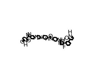 Cn1nc(C2CCC(=O)NC2=O)c2ccc(N3CCN([C@H]4CC[C@H](C(=O)NC5CCC(Nc6ncc(F)c(-c7cccc(-c8ccc[nH]c8=O)c7)n6)CC5)CC4)CC3)cc21